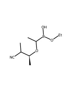 CCOB(O)C(C)O[C@@H](C)C(C)C#N